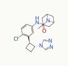 CC1CC2CC(C1)N2C(=O)Nc1ccc(Cl)c([C@@H]2CC[C@H]2n2cnnc2)c1